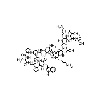 CC(C)[C@H](NC(=O)[C@H](CCCCN)NC(=O)CNC(=O)[C@H](CC(=O)O)NC(=O)[C@H](CCCCN)NC(=O)CNC(=O)[C@H](CC(N)=O)NC(=O)[C@@H]1CCCN1C(=O)CNC(=O)[C@H](Cc1c[nH]c2ccccc12)NC(=O)[C@@H]1CCCN1C(=O)CNC(=O)[C@H](C)NC(=O)[C@@H]1CCCN1)C(=O)NCC(=O)O